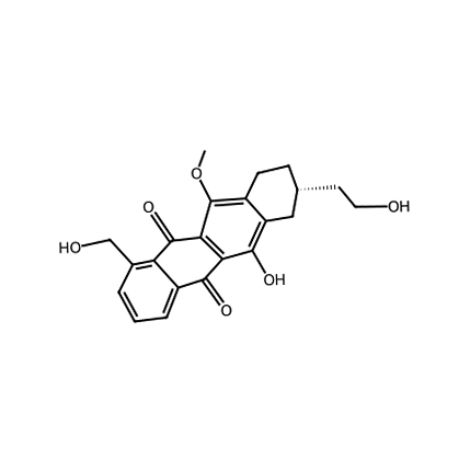 COc1c2c(c(O)c3c1C(=O)c1c(CO)cccc1C3=O)C[C@@H](CCO)CC2